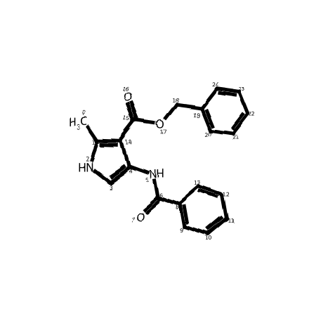 Cc1[nH]cc(NC(=O)c2ccccc2)c1C(=O)OCc1ccccc1